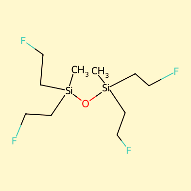 C[Si](CCF)(CCF)O[Si](C)(CCF)CCF